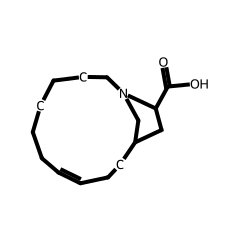 O=C(O)C1CC2CCC=CCCCCCCN1C2